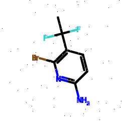 CC(F)(F)c1ccc(N)nc1Br